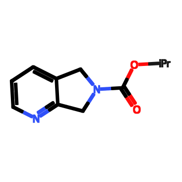 CC(C)OC(=O)N1Cc2cccnc2C1